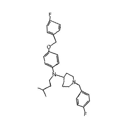 CC(C)CCN(c1ccc(OCc2ccc(F)cc2)cc1)C1CCN(Cc2ccc(F)cc2)CC1